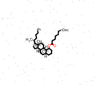 CCCCCCCCCCCCCCCC(=O)OC1CCC[C@H]2CC[C@H]3[C@@H]4CC[C@H]([C@H](C)CCCC(C)C)[C@@]4(C)CC[C@@H]3[C@@]12C